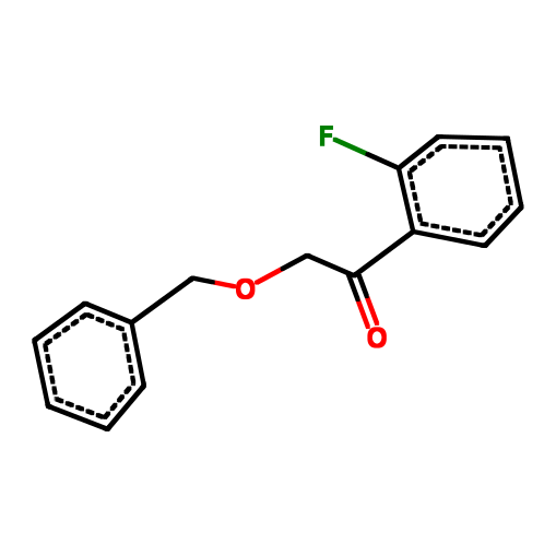 O=C(COCc1ccccc1)c1ccccc1F